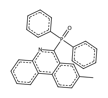 Cc1ccc2c(c1)c(P(=O)(c1ccccc1)c1ccccc1)nc1ccccc12